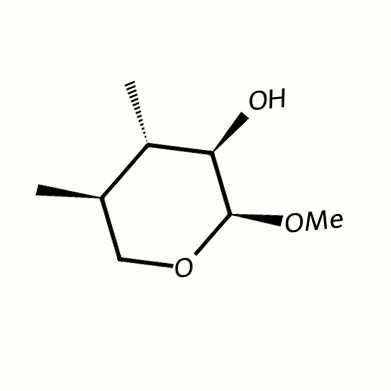 CO[C@H]1OC[C@@H](C)[C@H](C)[C@H]1O